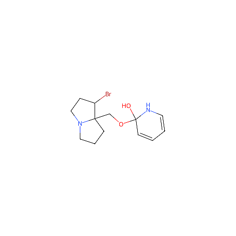 OC1(OCC23CCCN2CCC3Br)C=CC=CN1